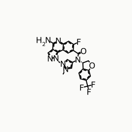 Cn1cc(N(C(=O)c2cc3c(cc2F)nc(N)c2cnn(C)c23)[C@@H]2COc3cc(C(F)(F)F)ccc32)cn1